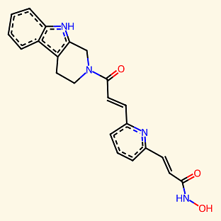 O=C(C=Cc1cccc(C=CC(=O)N2CCc3c([nH]c4ccccc34)C2)n1)NO